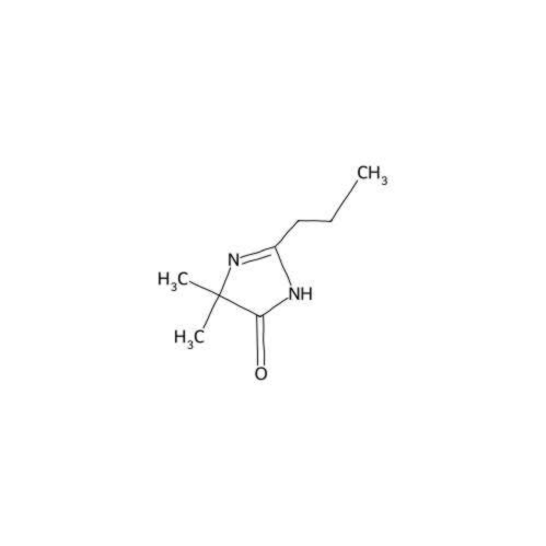 CCCC1=NC(C)(C)C(=O)N1